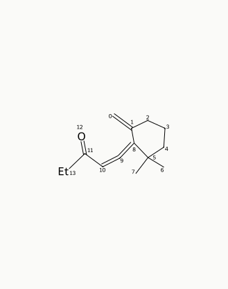 C=C1CCCC(C)(C)C1=C=CC(=O)CC